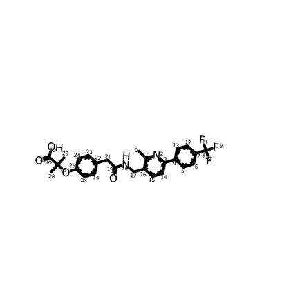 Cc1nc(-c2ccc(C(F)(F)F)cc2)ccc1CNC(=O)Cc1ccc(OC(C)(C)C(=O)O)cc1